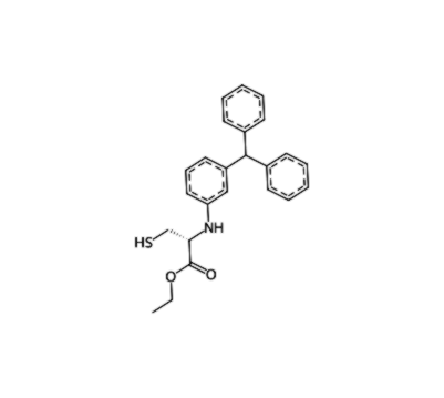 CCOC(=O)[C@H](CS)Nc1cccc(C(c2ccccc2)c2ccccc2)c1